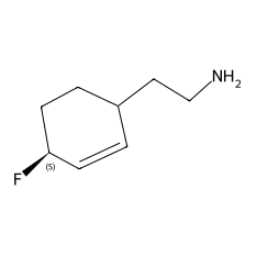 NCCC1C=C[C@@H](F)CC1